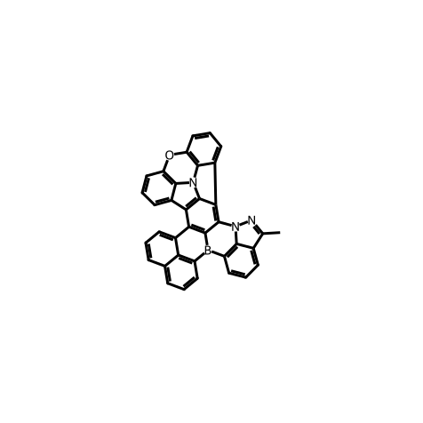 Cc1nn2c3c(cccc13)B1c3c(c4c5cccc6c5n5c7c(cccc7c(c3-2)c45)O6)-c2cccc3cccc1c23